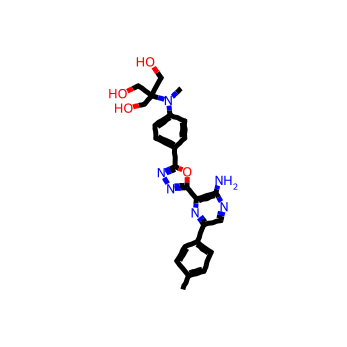 Cc1ccc(-c2cnc(N)c(-c3nnc(-c4ccc(N(C)C(CO)(CO)CO)cc4)o3)n2)cc1